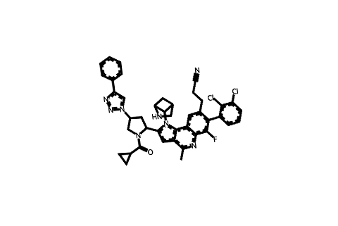 Cc1nc2c(F)c(-c3cccc(Cl)c3Cl)c(CCC#N)cc2c2c1cc(C1CC(n3cc(-c4ccccc4)nn3)CN1C(=O)C1CC1)n2C1C2CNC1C2